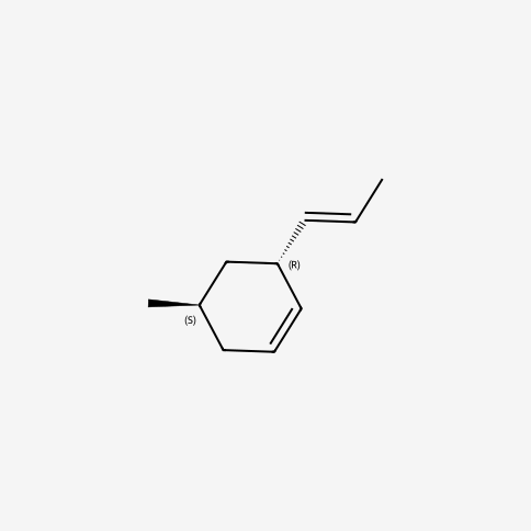 CC=C[C@@H]1C=CC[C@@H](C)C1